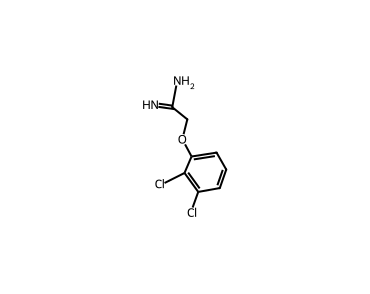 N=C(N)COc1cccc(Cl)c1Cl